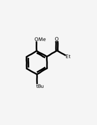 CCC(=O)c1cc(C(C)(C)C)ccc1OC